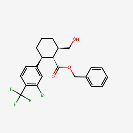 O=C(OCc1ccccc1)[C@H]1[C@H](CO)CCC[C@@H]1c1ccc(C(F)(F)F)c(Br)c1